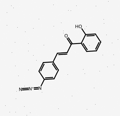 [N-]=[N+]=Nc1ccc(C=CC(=O)c2ccccc2O)cc1